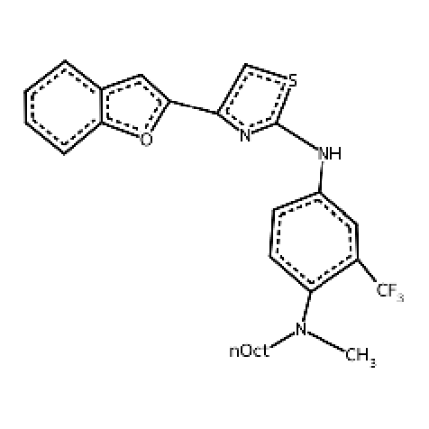 CCCCCCCCN(C)c1ccc(Nc2nc(-c3cc4ccccc4o3)cs2)cc1C(F)(F)F